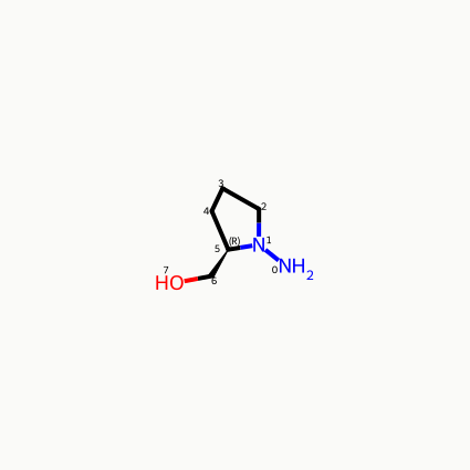 NN1CCC[C@@H]1CO